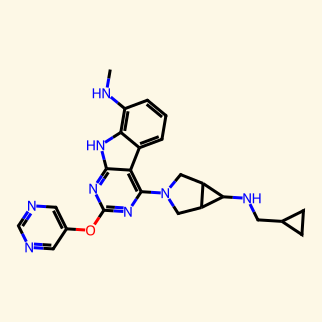 CNc1cccc2c1[nH]c1nc(Oc3cncnc3)nc(N3CC4C(C3)C4NCC3CC3)c12